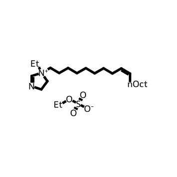 CCCCCCCC/C=C\CCCCCCCC[N+]1(CC)C=NCC1.CCOS(=O)(=O)[O-]